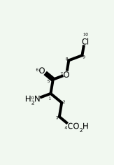 NC(CCC(=O)O)C(=O)OCCCl